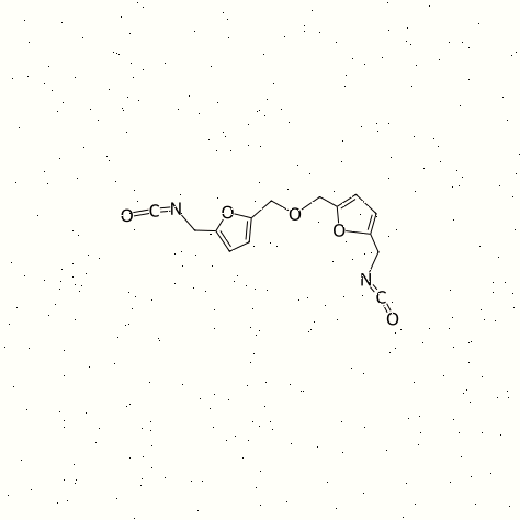 O=C=NCc1ccc(COCc2ccc(CN=C=O)o2)o1